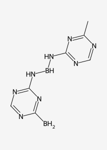 Bc1ncnc(NBNc2ncnc(C)n2)n1